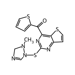 CN1CN=CN1Sc1nc(C(=O)c2cccs2)c2sccc2n1